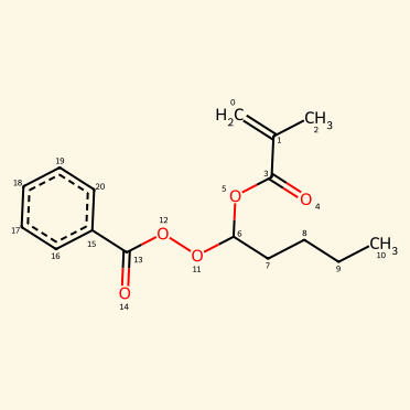 C=C(C)C(=O)OC(CCCC)OOC(=O)c1ccccc1